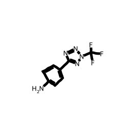 Nc1ccc(-c2nnn(C(F)(F)F)n2)cc1